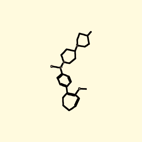 COC1=C(c2ccc([S+]([O-])N3CCC(N4CCC(C)CC4)CC3)cc2)CCCC=C1